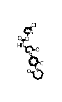 O=C(NC1CC(=O)N(c2ccc(N3CCCCCC3=O)c(Cl)c2)C1)Oc1ccc(Cl)s1